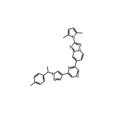 Cc1ccc(C(C)n2cc(-c3cncc(-c4ccn5nc(-n6c(C)ccc6C)nc5c4)n3)cn2)cc1